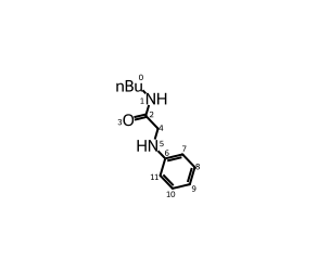 CCCCNC(=O)CNc1ccccc1